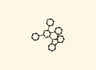 Clc1ccccc1-c1c(-c2cccnc2)nc(-c2ccccc2)nc1-n1c2ccccc2c2ccccc21